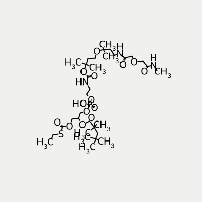 CCSC(=O)OCC(COP(=O)(O)OCCNC(=O)OC(C)(C)CCOC(C)(C)CCNC(=O)COCC(=O)NC)OC(=O)C(C)(C)CC(C)(C)C